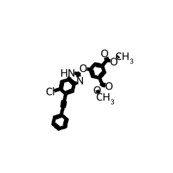 COC(=O)c1cc(Oc2nc3cc(C#Cc4ccccc4)c(Cl)cc3[nH]2)cc(C(=O)OC)c1